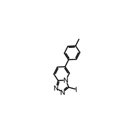 Cc1ccc(-c2ccc3nnc(I)n3c2)cc1